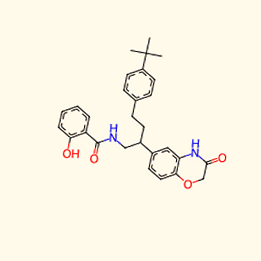 CC(C)(C)c1ccc(CCC(CNC(=O)c2ccccc2O)c2ccc3c(c2)NC(=O)CO3)cc1